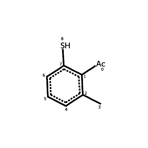 CC(=O)c1c(C)cccc1S